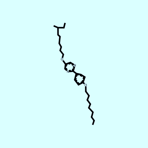 CCCCCCCCCOc1ccc(-c2ncc(OCCCCCCC(C)CC)cn2)cc1